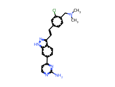 CN(C)Cc1ccc(/C=C/c2n[nH]c3cc(-c4ccnc(N)n4)ccc23)cc1Cl